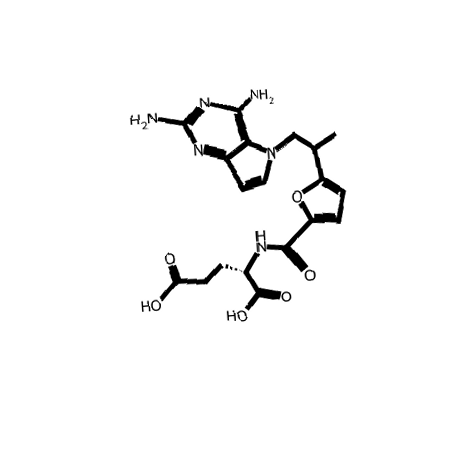 CC(Cn1ccc2nc(N)nc(N)c21)c1ccc(C(=O)N[C@@H](CCC(=O)O)C(=O)O)o1